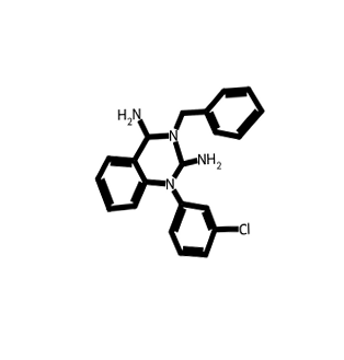 NC1c2ccccc2N(c2cccc(Cl)c2)C(N)N1Cc1ccccc1